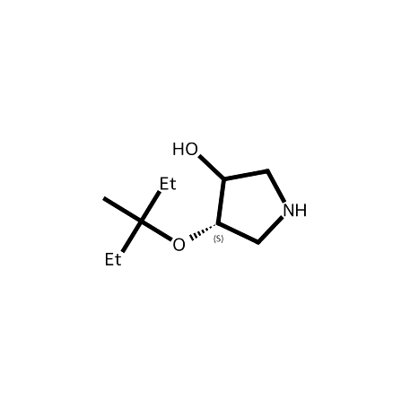 CCC(C)(CC)O[C@H]1CNCC1O